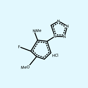 CNc1c(-n2cnnn2)ccc(OC)c1F.Cl